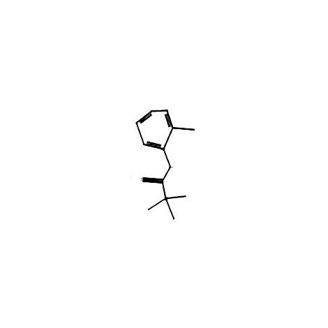 CC(C)(C)C(=O)Cc1ccccc1Cl